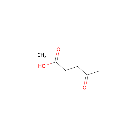 C.CC(=O)CCC(=O)O